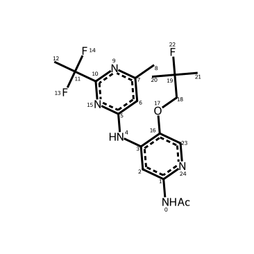 CC(=O)Nc1cc(Nc2cc(C)nc(C(C)(F)F)n2)c(OCC(C)(C)F)cn1